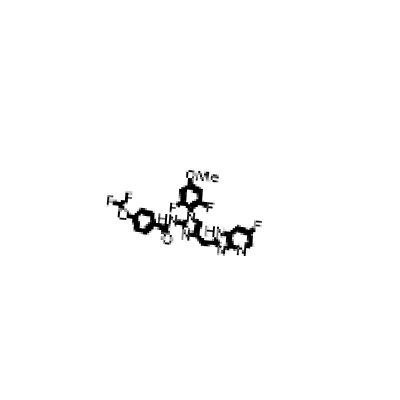 COc1cc(F)c(-n2cc(Cc3nc4ncc(F)cc4[nH]3)nc2NC(=O)c2ccc(OC(F)F)cc2)c(F)c1